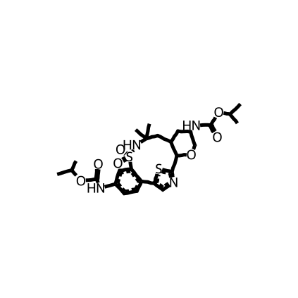 CC(C)OC(=O)Nc1ccc2c(c1)S(=O)(=O)NC(C)(C)CC1C[C@H](NC(=O)OC(C)C)COC1c1ncc-2s1